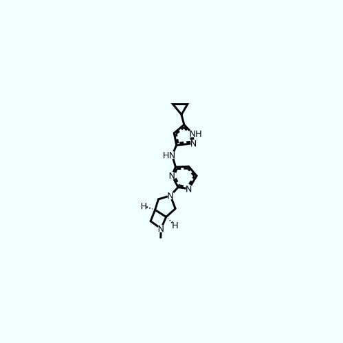 CN1C[C@H]2CN(c3nccc(Nc4cc(C5CC5)[nH]n4)n3)C[C@H]21